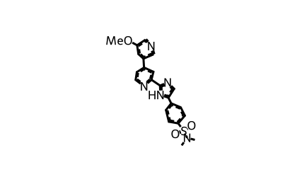 COc1cncc(-c2ccnc(-c3ncc(-c4ccc(S(=O)(=O)N(C)C)cc4)[nH]3)c2)c1